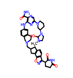 CN1CCN([C@@H]2CCCN(c3cnc(C(N)=O)c(Nc4ccc5c(c4)CCN(CC4Cc6ccc7c(C8CCC(=O)NC8=O)noc7c6C4)C5)n3)C2)C1O